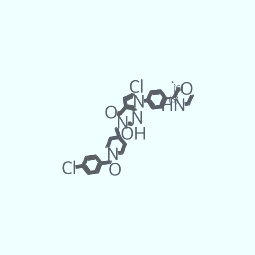 C[C@@H]1OCCN[C@H]1c1ccc(-n2c(Cl)cc3c(=O)n(CC4(O)CCN(C(=O)c5ccc(Cl)cc5)CC4)cnc32)cc1